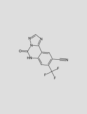 N#Cc1cc2c(cc1C(F)(F)F)[nH]c(=O)n1ncnc21